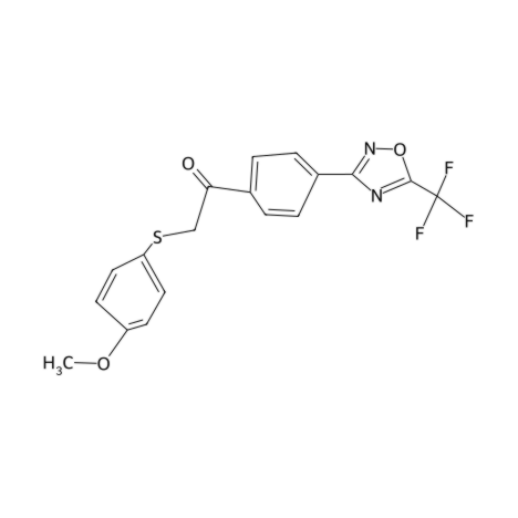 COc1ccc(SCC(=O)c2ccc(-c3noc(C(F)(F)F)n3)cc2)cc1